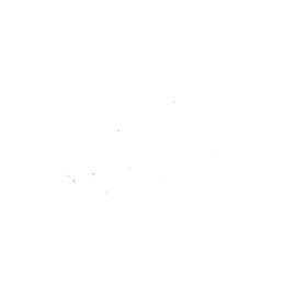 Cl.O=C(Cl)OC1CN2CCC1CC2